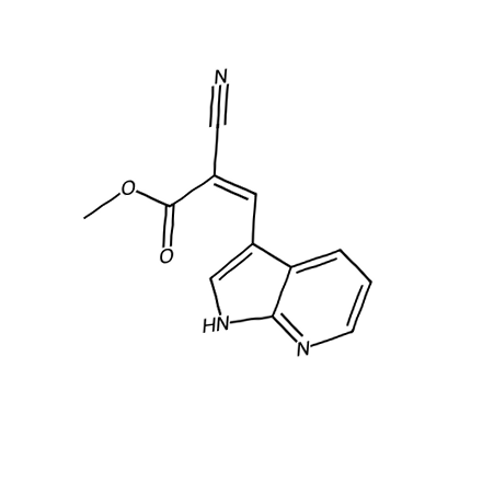 COC(=O)C(C#N)=Cc1c[nH]c2ncccc12